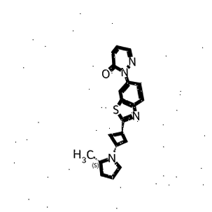 C[C@H]1CCCN1[C@H]1C[C@H](c2nc3ccc(-n4ncccc4=O)cc3s2)C1